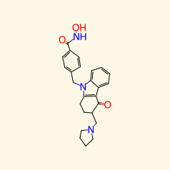 O=C(NO)c1ccc(Cn2c3c(c4ccccc42)C(=O)C(CN2CCCC2)CC3)cc1